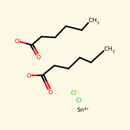 CCCCCC(=O)[O-].CCCCCC(=O)[O-].[Cl-].[Cl-].[Sn+4]